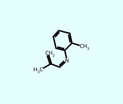 C=C(C)/C=N\c1ccccc1C